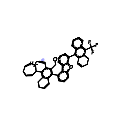 C/C=C\c1c(CC)c(-c2cccc3oc4c(-c5c6c(c(C(F)(F)F)c7ccccc57)CCC=C6)cccc4c23)c2c(c1C1C=CCC=CC1)CCC=C2